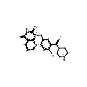 O=C(c1cc(Cn2c(=O)[nH]c(=O)c3cccnc32)ccc1F)N1CCNCC1